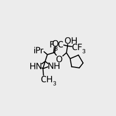 CC(C)C(C(=O)OC(C1CCCC1)C(O)(C(F)(F)F)C(F)(F)F)C12NC1(C)N2